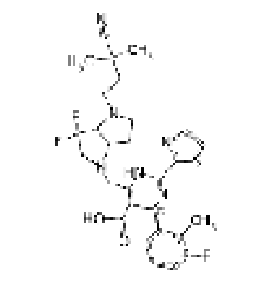 Cc1c(F)cccc1[C@@H]1N=C(c2nccs2)NC(CN2CC(F)(F)C3C2CCN3CCC(C)(C)C#N)=C1C(=O)O